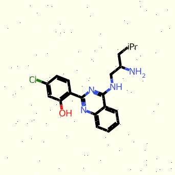 CC(C)CC(N)CNc1nc(-c2ccc(Cl)cc2O)nc2ccccc12